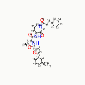 CC(C)CC(NC(=O)c1ccc(-c2cccc(C(F)(F)F)c2)o1)C(=O)NC1CCCN(C(=O)CCC2CCCCC2)CC1=O